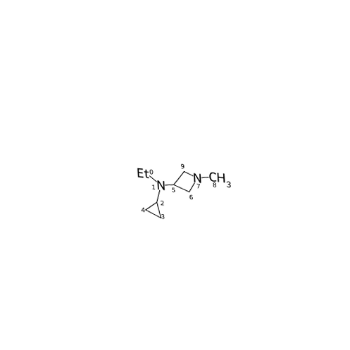 CCN(C1CC1)C1CN(C)C1